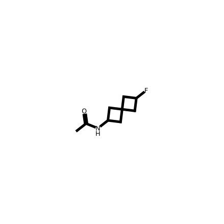 CC(=O)NC1CC2(CC(F)C2)C1